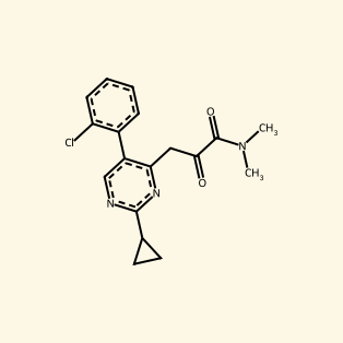 CN(C)C(=O)C(=O)Cc1nc(C2CC2)ncc1-c1ccccc1Cl